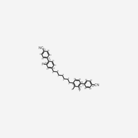 Cc1c(CCCCCCCc2ccc(-c3ccc(C#N)cc3)c(F)c2)ccc(-c2ccc(C#N)cc2)c1F